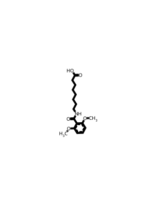 COc1cccc(OC)c1C(=O)NCCCCCCCC(=O)O